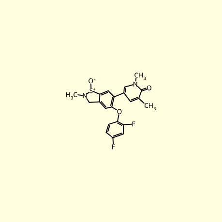 Cc1cc(-c2cc3c(cc2Oc2ccc(F)cc2F)CN(C)[S+]3[O-])cn(C)c1=O